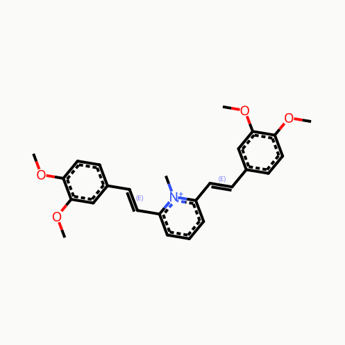 COc1ccc(/C=C/c2cccc(/C=C/c3ccc(OC)c(OC)c3)[n+]2C)cc1OC